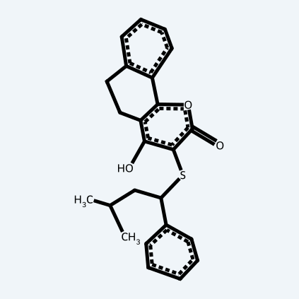 CC(C)CC(Sc1c(O)c2c(oc1=O)-c1ccccc1CC2)c1ccccc1